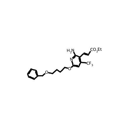 CCOC(=O)C=Cc1c(C(F)(F)F)cc(OCCCCOCc2ccccc2)nc1N